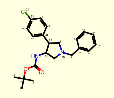 CC(C)(C)OC(=O)NC1CN(Cc2ccccc2)CC1c1ccc(Cl)cc1